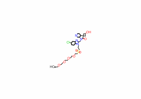 C#CCOCCOCCOCCOCCS(=O)(=O)CCCn1c(CN2C(=O)C3(CC(O)C3)c3ccncc32)nc2cc(Cl)ccc21